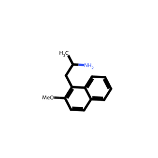 COc1ccc2ccccc2c1CC(C)N